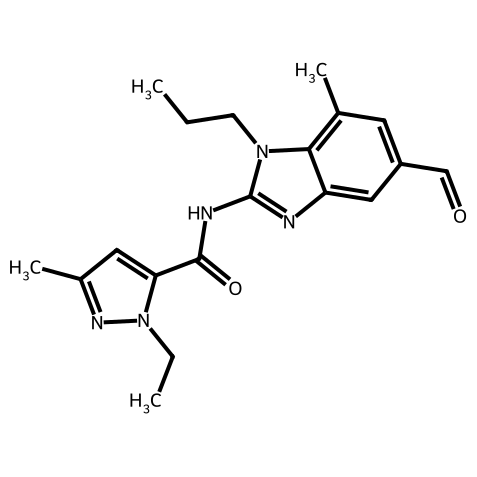 CCCn1c(NC(=O)c2cc(C)nn2CC)nc2cc(C=O)cc(C)c21